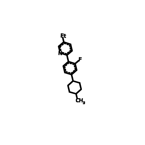 CCc1ccc(-c2ccc(C3CCC(C)CC3)cc2F)nc1